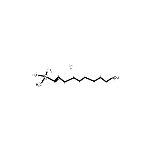 CCCCCCCCCCCCCCCC=C[N+](C)(C)C.[Br-]